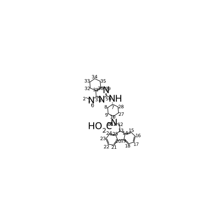 CN(C)c1nc(N[C@H]2CC[C@@H](N(CC3c4ccccc4-c4ccccc43)C(=O)O)CC2)nc2c1CCCC2